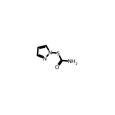 NC(=O)Sn1cccn1